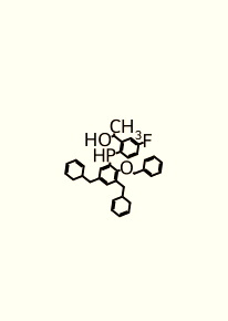 CC(O)c1cc(F)ccc1Pc1cc(CC2C=CC=CC2)cc(CC2C=CC=CC2)c1OCc1ccccc1